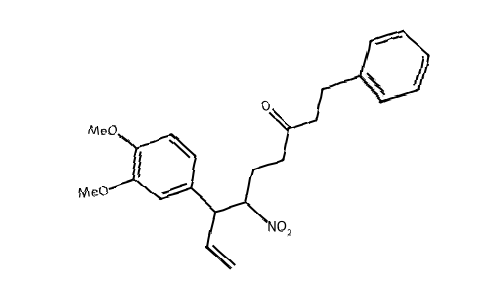 C=CC(c1ccc(OC)c(OC)c1)C(CCC(=O)CCc1ccccc1)[N+](=O)[O-]